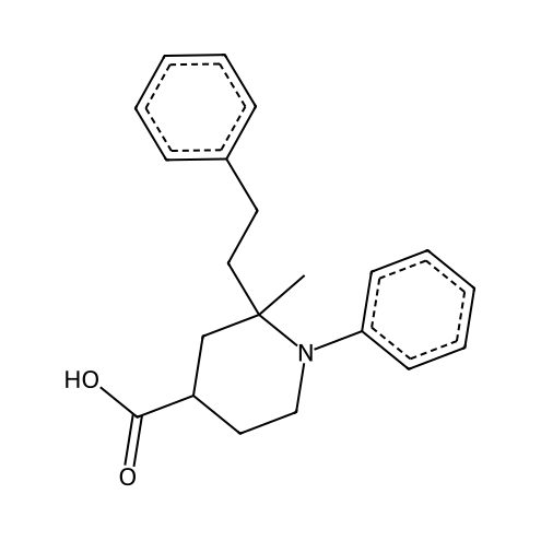 CC1(CCc2ccccc2)CC(C(=O)O)CCN1c1ccccc1